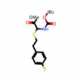 COC(=O)C(NC(=O)OC(C)(C)C)SCCc1ccc(F)cc1